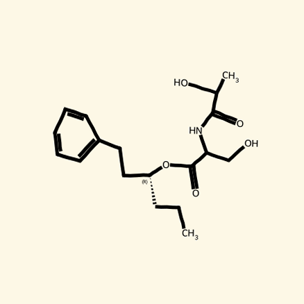 CCC[C@H](CCc1ccccc1)OC(=O)C(CO)NC(=O)C(C)O